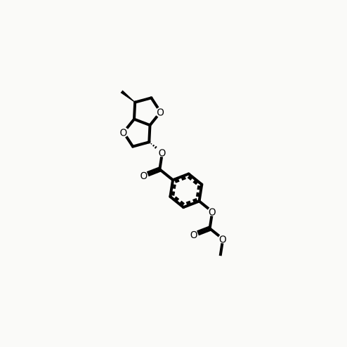 COC(=O)Oc1ccc(C(=O)O[C@@H]2COC3C2OC[C@@H]3C)cc1